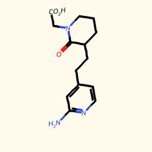 Nc1cc(CCC2CCCN(CC(=O)O)C2=O)ccn1